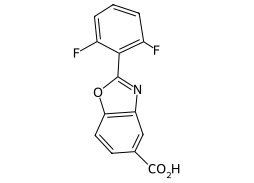 O=C(O)c1ccc2oc(-c3c(F)cccc3F)nc2c1